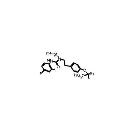 CCCCCCCN(CCc1ccc(OC(C)(CC)C(=O)O)cc1)C(=O)Nc1ccc(F)cc1F